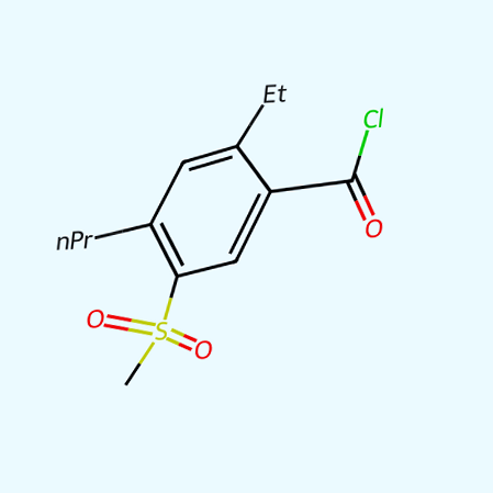 CCCc1cc(CC)c(C(=O)Cl)cc1S(C)(=O)=O